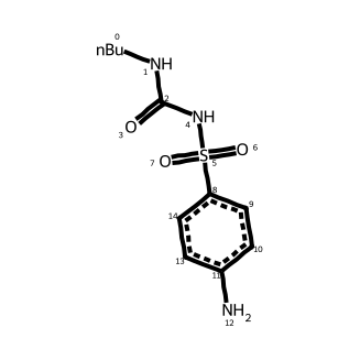 CCCCNC(=O)NS(=O)(=O)c1ccc(N)cc1